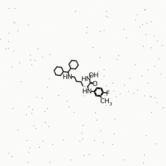 Cc1cc(N[C@H](CCCCNC(C2CCCCC2)C2CCCCC2)C(=O)NO)ccc1F